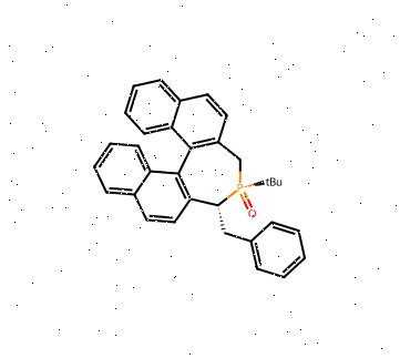 CC(C)(C)[P@]1(=O)Cc2ccc3ccccc3c2-c2c(ccc3ccccc23)[C@H]1Cc1ccccc1